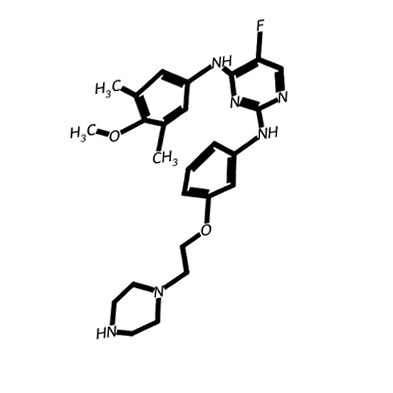 COc1c(C)cc(Nc2nc(Nc3cccc(OCCN4CCNCC4)c3)ncc2F)cc1C